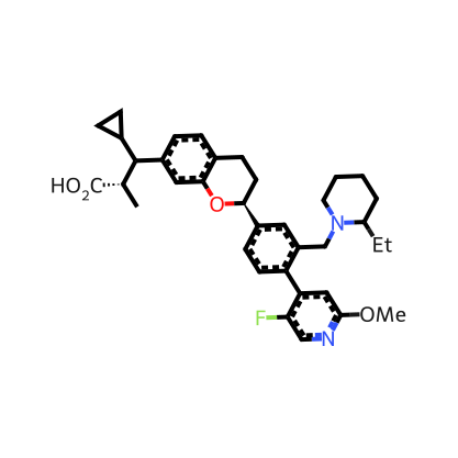 CCC1CCCCN1Cc1cc([C@@H]2CCc3ccc(C(C4CC4)[C@H](C)C(=O)O)cc3O2)ccc1-c1cc(OC)ncc1F